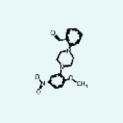 COc1ccc([N+](=O)[O-])cc1N1CCN(c2ccccc2C=O)CC1